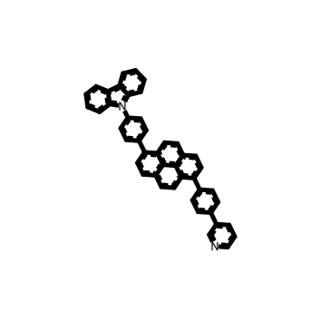 c1cncc(-c2ccc(-c3ccc4ccc5c(-c6ccc(-n7c8ccccc8c8ccccc87)cc6)ccc6ccc3c4c65)cc2)c1